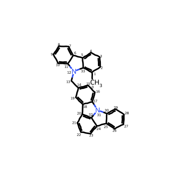 Cc1cccc2c3ccccc3n(Cc3ccc4c(c3)c3cccc5c6ccccc6n4c53)c12